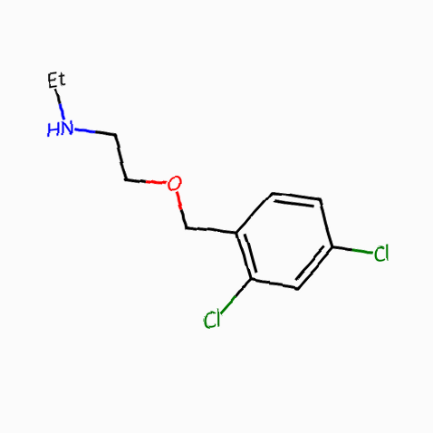 CCNCCOCc1ccc(Cl)cc1Cl